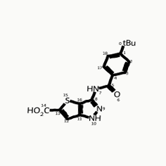 CC(C)(C)c1ccc(C(=O)Nc2n[nH]c3cc(C(=O)O)sc23)cc1